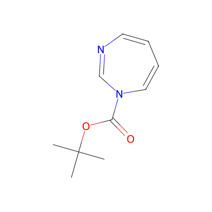 CC(C)(C)OC(=O)N1C=CC=CN=C1